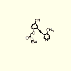 Cc1ccncc1C#Cc1cc(C#N)ccc1OCC(=O)OC(C)(C)C